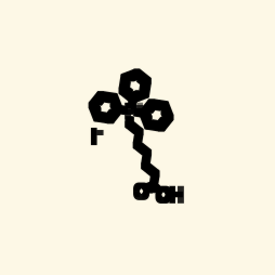 O=C(O)CCCCCC[P+](c1ccccc1)(c1ccccc1)c1ccccc1.[I-]